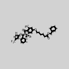 CC(C)c1cc(OCCCCCC(=O)OCc2ccccc2)cc2c1C(=O)N(C(Oc1cc(C(F)(F)F)n[nH]1)c1ccccc1)S2(=O)=O